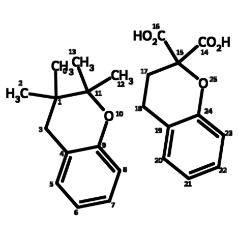 CC1(C)Cc2ccccc2OC1(C)C.O=C(O)C1(C(=O)O)CCc2ccccc2O1